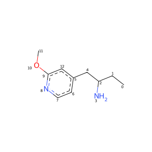 CCC(N)Cc1ccnc(OC)c1